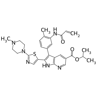 C=CC(=O)Nc1cc(-c2c(-c3cnc(N4CCN(C)CC4)s3)[nH]c3ncc(C(=O)OC(C)C)cc23)ccc1C